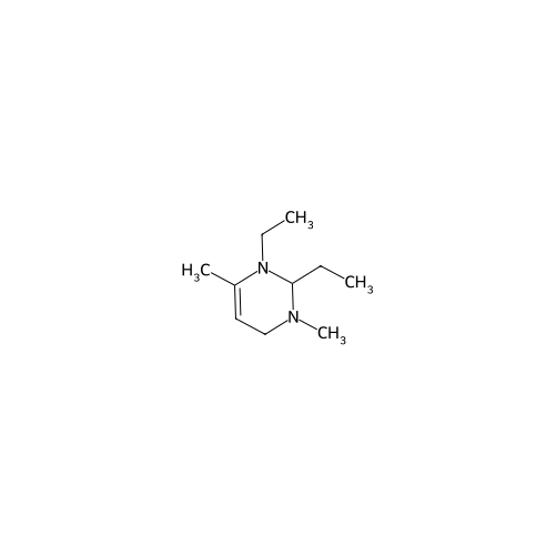 CCC1N(C)CC=C(C)N1CC